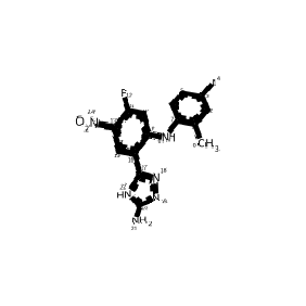 Cc1cc(I)ccc1Nc1cc(F)c([N+](=O)[O-])cc1-c1nnc(N)[nH]1